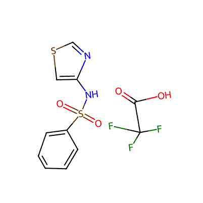 O=C(O)C(F)(F)F.O=S(=O)(Nc1cscn1)c1ccccc1